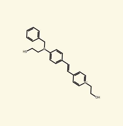 OCC[n+]1ccc(/C=C/c2ccc(N(CCS)Cc3ccccc3)cc2)cc1